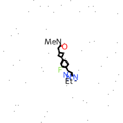 C=Nc1cc(-c2ccc(C3CC(CC(=O)NC)C3)cc2F)nn1CC